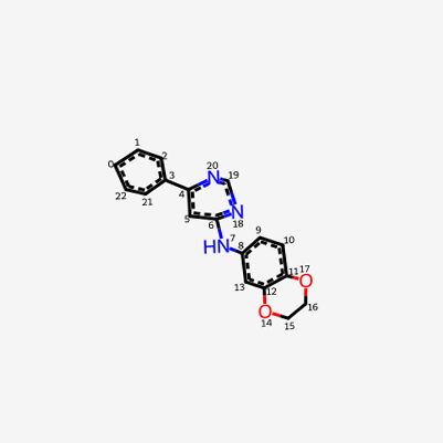 c1ccc(-c2cc(Nc3ccc4c(c3)OCCO4)ncn2)cc1